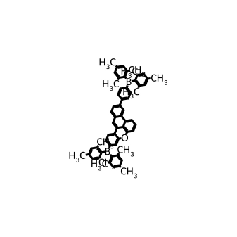 Cc1cc(C)c(B(c2ccc(-c3ccc4cc5c6c(cccc6c4c3)Oc3cc(B(c4c(C)cc(C)cc4C)c4c(C)cc(C)cc4C)ccc3-5)cc2)c2c(C)cc(C)cc2C)c(C)c1